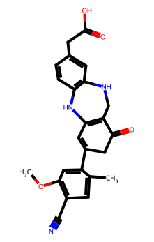 COc1cc(C2=CC3=C(CNc4cc(CC(=O)O)ccc4N3)C(=O)C2)c(C)cc1C#N